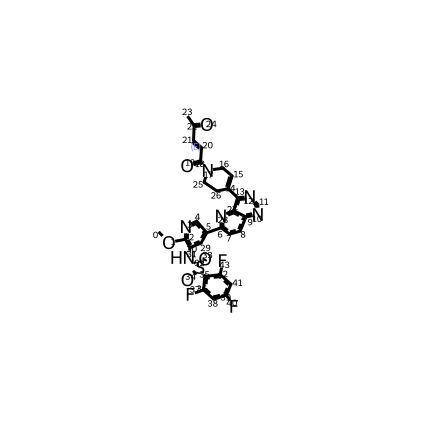 COc1ncc(-c2ccc3ncnc(C4=CCN(C(=O)/C=C/C(C)=O)CC4)c3n2)cc1NS(=O)(=O)c1c(F)cc(F)cc1F